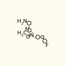 Cc1nc(-c2cccc(N)c2)cc2c1C(=O)N(Cc1ccc(Oc3ccc(F)cc3)cc1)C2